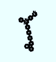 c1ccc(-c2nc(-c3ccc(-c4ccc(-c5ccc(-c6ccc7c(c6)C6(CCCCC6)c6ccccc6-7)cc5)cc4)cc3)cc(-c3ccc(-c4cccnc4)cc3)n2)cc1